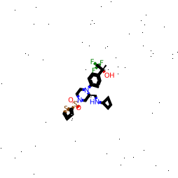 C[C@@](O)(c1ccc(N2CCN(S(=O)(=O)c3cccs3)C[C@@H]2CNC2CCC2)cc1)C(F)(F)F